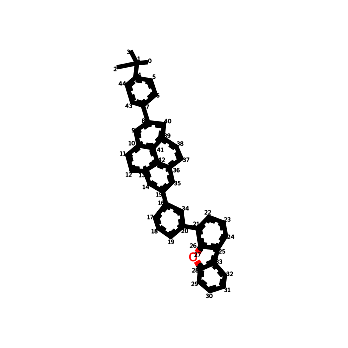 CC(C)(C)c1ccc(-c2cc3ccc4cc(-c5cccc(-c6cccc7c6oc6ccccc67)c5)cc5ccc(c2)c3c45)cc1